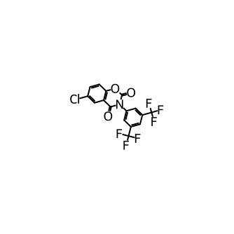 O=c1oc2ccc(Cl)cc2c(=O)n1-c1cc(C(F)(F)F)cc(C(F)(F)F)c1